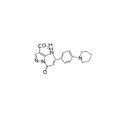 O=C(O)c1cnn2c(=O)cc(-c3ccc(N4CCCCC4)cc3)[nH]c12